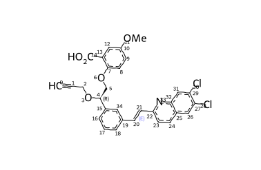 C#CCO[C@@H](COc1ccc(OC)cc1C(=O)O)c1cccc(/C=C/c2ccc3cc(Cl)c(Cl)cc3n2)c1